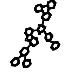 c1ccc(-c2ccc(-c3nc(-c4ccc5c6ccccc6c6ccccc6c5c4)nc(-c4cccc5oc6c(-c7ccc(-c8ccccc8)c(-c8ccccc8)c7)cccc6c45)n3)cc2)cc1